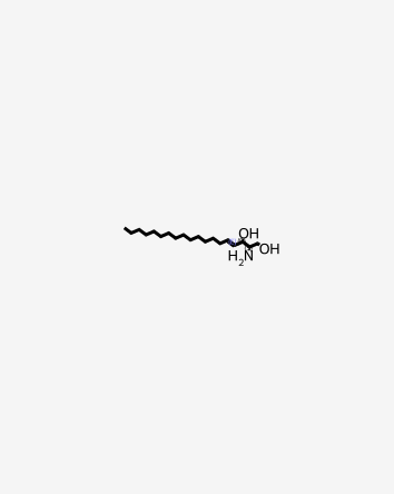 CCCCCCCCCCCCCC/C=C/[C@@H](O)[C@@H](N)CO